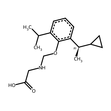 CC(C)c1cccc([C@H](C)C2CC2)c1OCNCC(=O)O